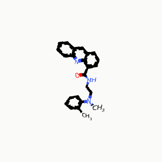 Cc1ccccc1N(C)CCNC(=O)c1cccc2cc3ccccc3nc12